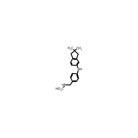 CC1(C)Cc2ccc(Nc3ccc(CNC(=O)O)cc3)cc2C1